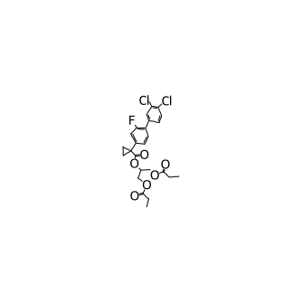 CCC(=O)OCC(COC(=O)CC)OC(=O)C1(c2ccc(-c3ccc(Cl)c(Cl)c3)c(F)c2)CC1